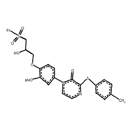 CCS(=O)(=O)CC(O)COc1ccc(-n2ccnc(Sc3ccc(C)cc3)c2=O)cc1OC